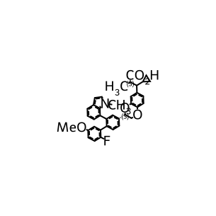 COc1ccc(F)c(-c2ccc([C@H]3COc4ccc(C(C5CC5)[C@H](C)C(=O)O)cc4O3)cc2-c2cccc3ccn(C)c23)c1